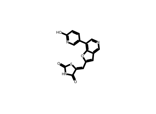 O=C1NC(=O)C(=Cc2cc3cncc(-c4ccc(O)nc4)c3o2)S1